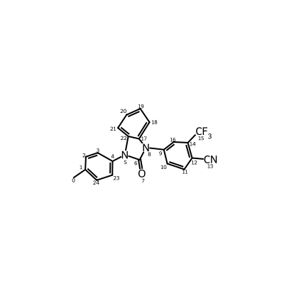 Cc1ccc(-n2c(=O)n(-c3ccc(C#N)c(C(F)(F)F)c3)c3ccccc32)cc1